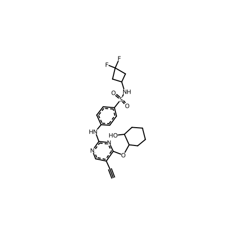 C#Cc1cnc(Nc2ccc(S(=O)(=O)NC3CC(F)(F)C3)cc2)nc1OC1CCCCC1O